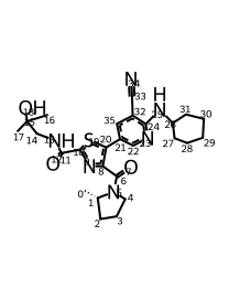 C[C@H]1CCCN1C(=O)c1nc(C(=O)NCC(C)(C)O)sc1-c1cnc(NC2CCCCC2)c(C#N)c1